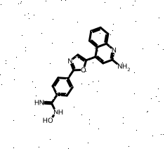 N=C(NO)c1ccc(-c2ncc(-c3cc(N)nc4ccccc34)o2)cc1